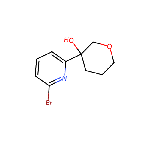 OC1(c2cccc(Br)n2)CCCOC1